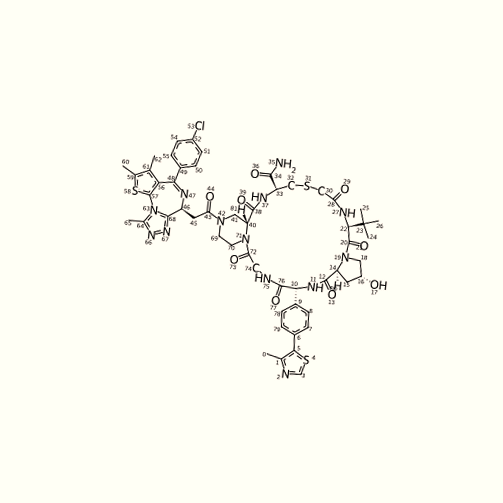 Cc1ncsc1-c1ccc([C@H]2NC(=O)[C@@H]3C[C@@H](O)CN3C(=O)[C@H](C(C)(C)C)NC(=O)CSC[C@H](C(N)=O)NC(=O)[C@H]3CN(C(=O)C[C@@H]4N=C(c5ccc(Cl)cc5)c5c(sc(C)c5C)-n5c(C)nnc54)CCN3C(=O)CNC2=O)cc1